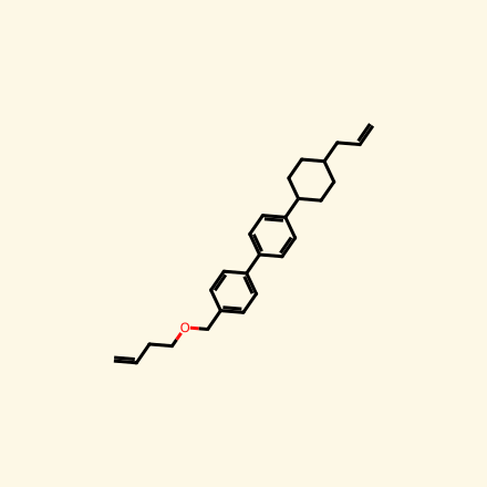 C=CCCOCc1ccc(-c2ccc(C3CCC(CC=C)CC3)cc2)cc1